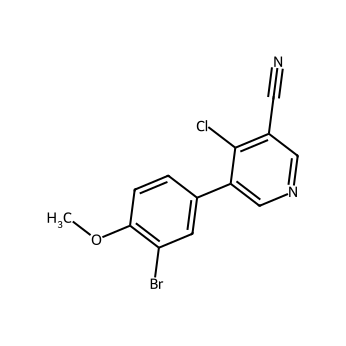 COc1ccc(-c2cncc(C#N)c2Cl)cc1Br